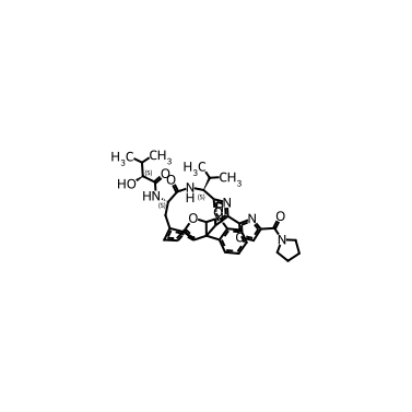 CC(C)[C@H](O)C(=O)N[C@H]1Cc2ccc3c(c2)C2(c4ccccc4NC2O3)c2oc(nc2-c2nc(C(=O)N3CCCC3)co2)[C@H](C(C)C)NC1=O